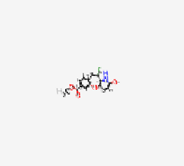 COC(=O)c1ccc2c(c1)Oc1ccc(=O)[nH]c1C(F)=C2